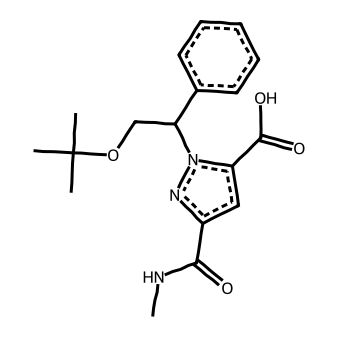 CNC(=O)c1cc(C(=O)O)n(C(COC(C)(C)C)c2ccccc2)n1